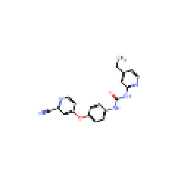 CCc1ccnc(NC(=O)Nc2ccc(Oc3ccnc(C#N)c3)cc2)c1